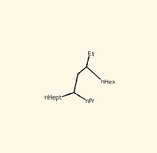 CCCCCCCC(CCC)CC(CC)CCCCCC